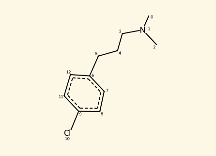 CN(C)CCCc1ccc(Cl)cc1